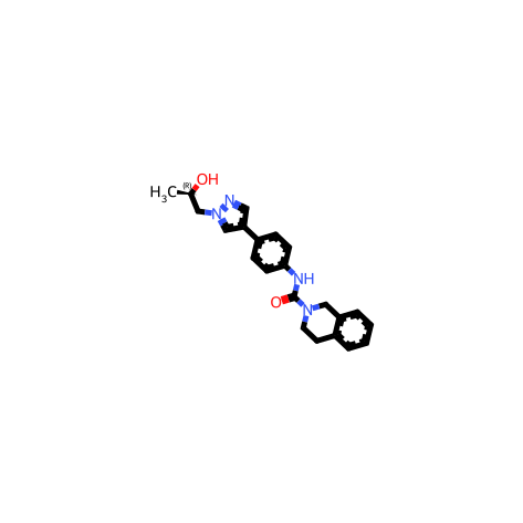 C[C@@H](O)Cn1cc(-c2ccc(NC(=O)N3CCc4ccccc4C3)cc2)cn1